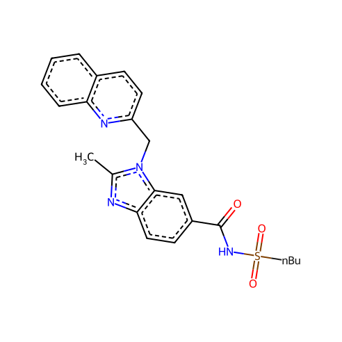 CCCCS(=O)(=O)NC(=O)c1ccc2nc(C)n(Cc3ccc4ccccc4n3)c2c1